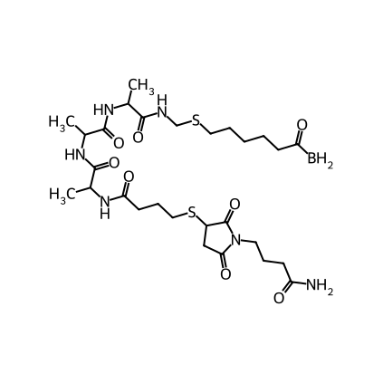 BC(=O)CCCCCSCNC(=O)C(C)NC(=O)C(C)NC(=O)C(C)NC(=O)CCCSC1CC(=O)N(CCCC(N)=O)C1=O